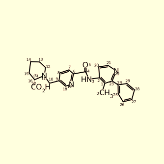 Cc1c(NC(=O)c2ccc(CN3CCCC[C@H]3C(=O)O)cn2)ccnc1-c1ccccc1